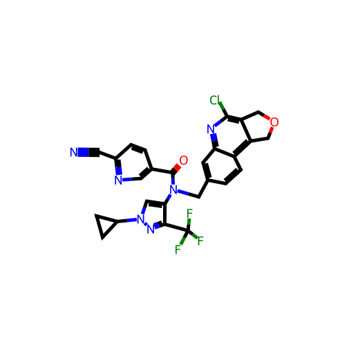 N#Cc1ccc(C(=O)N(Cc2ccc3c4c(c(Cl)nc3c2)COC4)c2cn(C3CC3)nc2C(F)(F)F)cn1